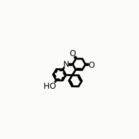 O=C1C=C2C(=Nc3ccc(O)cc3C23C=CCC=C3)C(=O)C1